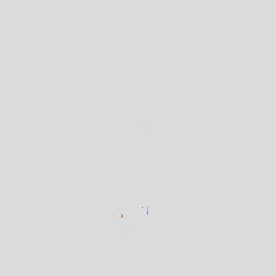 CCCCCCCCCC=CCCCCCCCCC(CCC)(P(=O)=O)[N+](C)(C)C